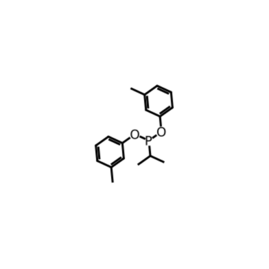 Cc1cccc(OP(Oc2cccc(C)c2)C(C)C)c1